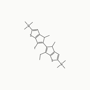 CCC1=C(C2=C(I)c3sc([Si](C)(C)C)cc3C2C)C(C)c2cc([Si](C)(C)C)sc21